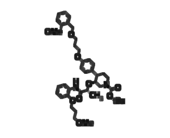 COCCCOc1ccccc1NC(=O)[C@@H](C)O[C@@H]1CN(C(=O)OC(C)(C)C)CCC1c1ccc(OCCCOCc2ccccc2OC)cc1